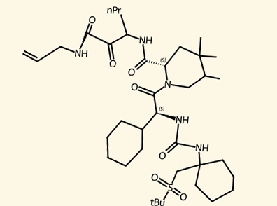 C=CCNC(=O)C(=O)C(CCC)NC(=O)[C@@H]1CC(C)(C)C(C)CN1C(=O)[C@@H](NC(=O)NC1(CS(=O)(=O)C(C)(C)C)CCCCC1)C1CCCCC1